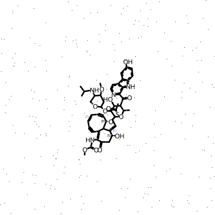 COC(=O)NC1=C2C#C/C=C\C#C[C@H](OC3OC(C)C(C(=O)c4nccc5c4[nH]c4ccc(O)cc45)C(O)C3OC3CC(OC)C(NC(C)C)CO3)C2/C(=C\CSC(C)=O)[C@@H](O)CC1=O